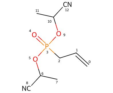 C=CCP(=O)(OC(C)C#N)OC(C)C#N